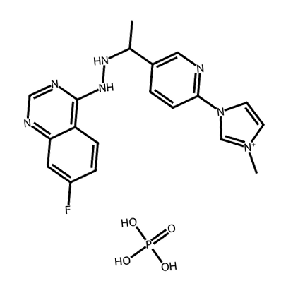 CC(NNc1ncnc2cc(F)ccc12)c1ccc(-n2cc[n+](C)c2)nc1.O=P(O)(O)O